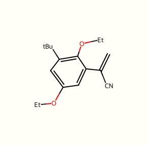 C=C(C#N)c1cc(OCC)cc(C(C)(C)C)c1OCC